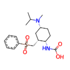 CC(C)N(C)[C@@H]1CC[C@H](NC(=O)O)[C@H](CS(=O)(=O)c2ccccc2)C1